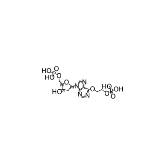 O=P(O)(O)OCCOc1ncnc2c1ncn2[C@H]1C[C@H](O)[C@@H](COP(=O)(O)O)O1